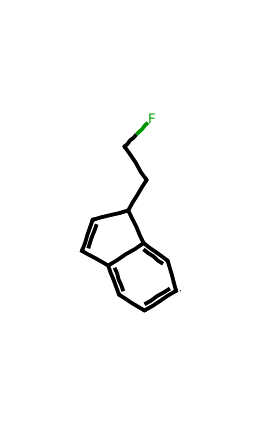 FCCC1C=Cc2cc[c]cc21